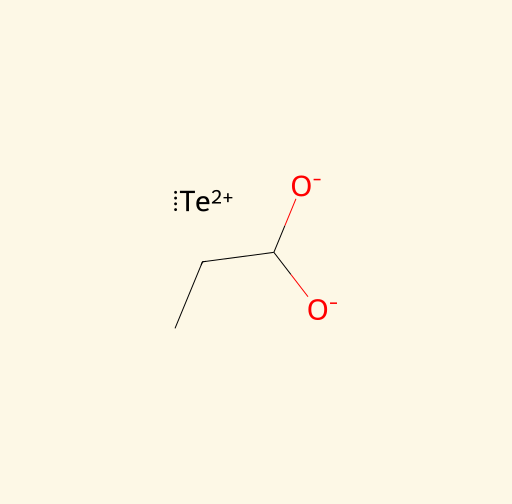 CCC([O-])[O-].[Te+2]